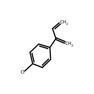 C=CC(=C)c1ccc(Cl)cc1